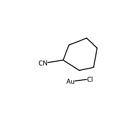 [C-]#[N+]C1CCCCC1.[Cl][Au]